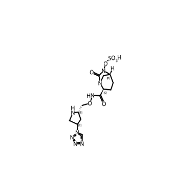 O=C(NOC[C@@H]1C[C@@H](n2cnnn2)CN1)[C@@H]1CC[C@@H]2CN1C(=O)N2OS(=O)(=O)O